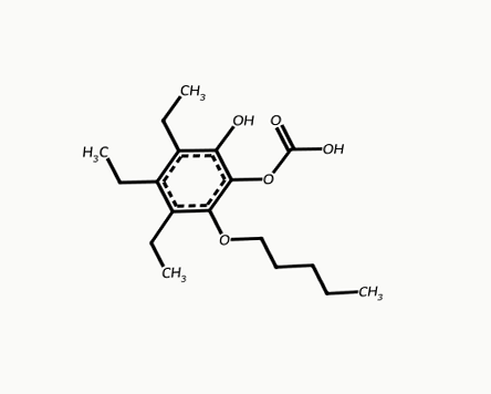 CCCCCOc1c(CC)c(CC)c(CC)c(O)c1OC(=O)O